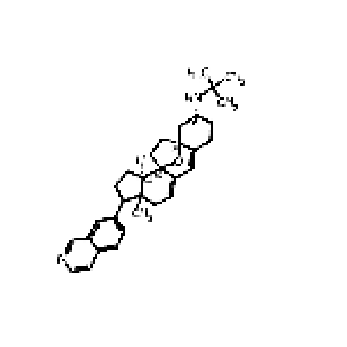 CC(C)(C)N[C@@H]1CCC2=CC3=CCC4(C)C(c5ccc6ccncc6c5)CC[C@H]4[C@@]34CC[C@]2(C1)O4